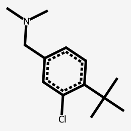 CN(C)Cc1ccc(C(C)(C)C)c(Cl)c1